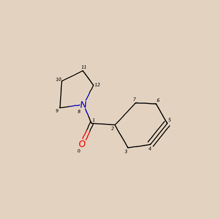 O=C(C1CC#CCC1)N1CCCC1